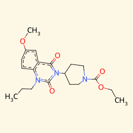 CCCn1c(=O)n(C2CCN(C(=O)OCC)CC2)c(=O)c2cc(OC)ccc21